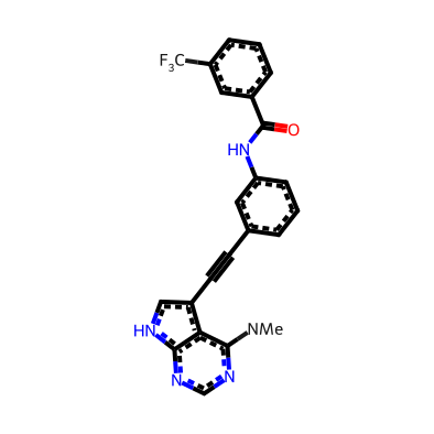 CNc1ncnc2[nH]cc(C#Cc3cccc(NC(=O)c4cccc(C(F)(F)F)c4)c3)c12